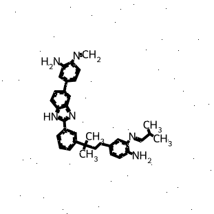 C=Nc1ccc(-c2ccc3[nH]c(-c4cccc(C(C)(C)CCc5ccc(N)c(/N=C/C(C)C)c5)c4)nc3c2)cc1N